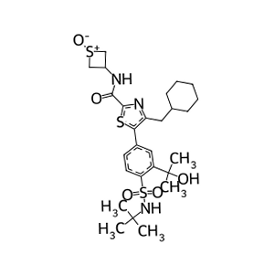 CC(C)(C)NS(=O)(=O)c1ccc(-c2sc(C(=O)NC3C[S+]([O-])C3)nc2CC2CCCCC2)cc1C(C)(C)O